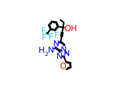 CCC(O)(C#Cc1cn2nc(-c3ccco3)nc2c(N)n1)c1cccc(C(F)(F)F)c1F